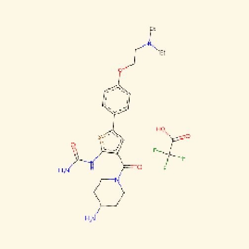 CCN(CC)CCOc1ccc(-c2cc(C(=O)N3CCC(N)CC3)c(NC(N)=O)s2)cc1.O=C(O)C(F)(F)F